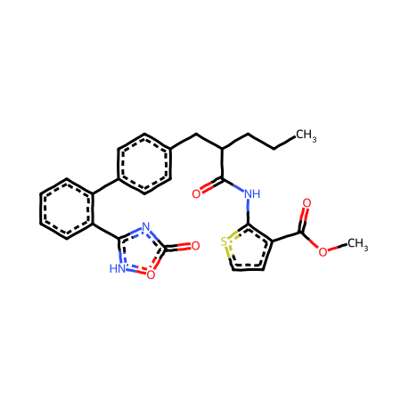 CCCC(Cc1ccc(-c2ccccc2-c2nc(=O)o[nH]2)cc1)C(=O)Nc1sccc1C(=O)OC